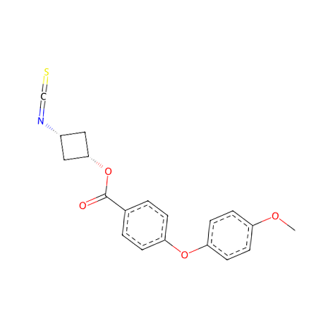 COc1ccc(Oc2ccc(C(=O)O[C@H]3C[C@@H](N=C=S)C3)cc2)cc1